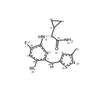 Cc1cc(Nc2nc(N[C@@H](C(N)=O)C3CC3)c(F)cc2C#N)sn1